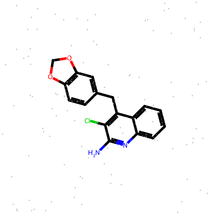 Nc1nc2ccccc2c(Cc2ccc3c(c2)OCO3)c1Cl